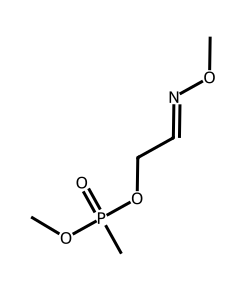 CON=CCOP(C)(=O)OC